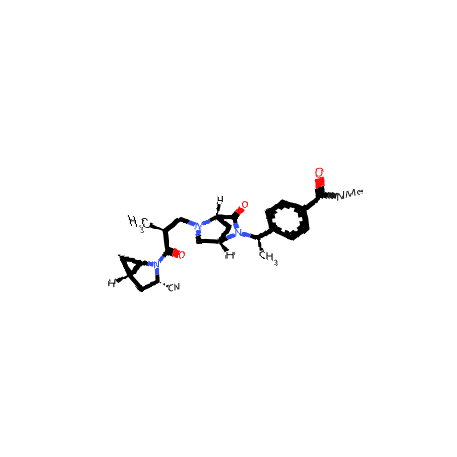 CNC(=O)c1ccc([C@@H](C)N2C(=O)[C@@H]3C[C@H]2CN3C[C@H](C)C(=O)N2C3C[C@H]3C[C@H]2C#N)cc1